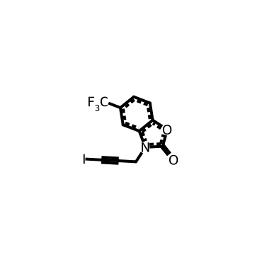 O=c1oc2ccc(C(F)(F)F)cc2n1CC#CI